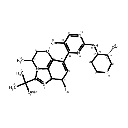 COC(C)(C)C1=NC2C3=C(OC[C@H](C)N13)C(c1nc(N[C@@H]3CCOC[C@H]3O)ncc1Cl)=CC2F